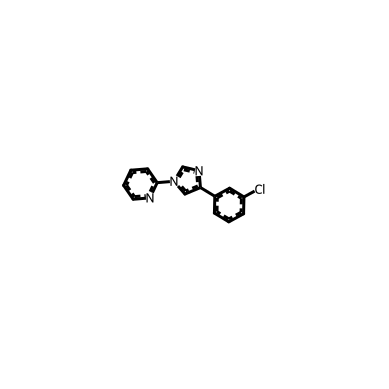 Clc1cccc(-c2cn(-c3ccccn3)cn2)c1